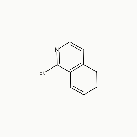 CCc1nccc2c1C=CCC2